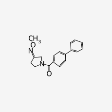 CON=C1CCN(C(=O)c2ccc(-c3ccccc3)cc2)C1